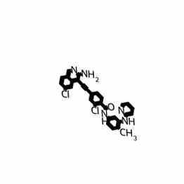 Cc1ccc(NC(=O)c2ccc(C#Cc3c(N)ncc4ccc(Cl)cc34)cc2Cl)cc1Nc1ccccn1